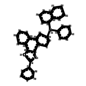 c1ccc(-c2nc3c4ccc(N(c5ccccc5)c5cccc6ccccc56)cc4c4ccccc4c3o2)cc1